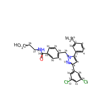 Bc1cccc(-c2cc(-c3cc(Cl)cc(Cl)c3)nn2Cc2ccc(C(=O)NCCC(=O)O)cc2)c1